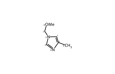 COCn1cnc(C)c1